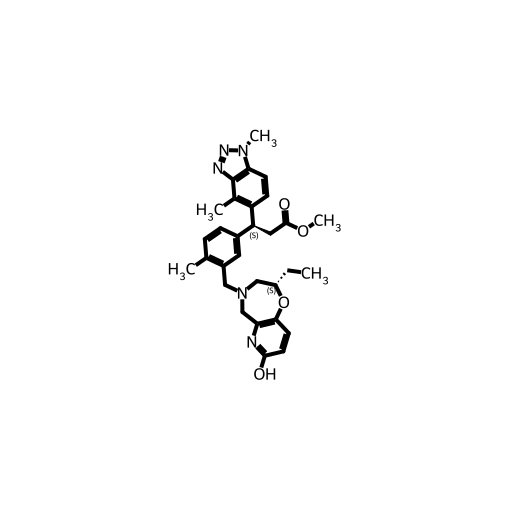 CC[C@H]1CN(Cc2cc([C@H](CC(=O)OC)c3ccc4c(nnn4C)c3C)ccc2C)Cc2nc(O)ccc2O1